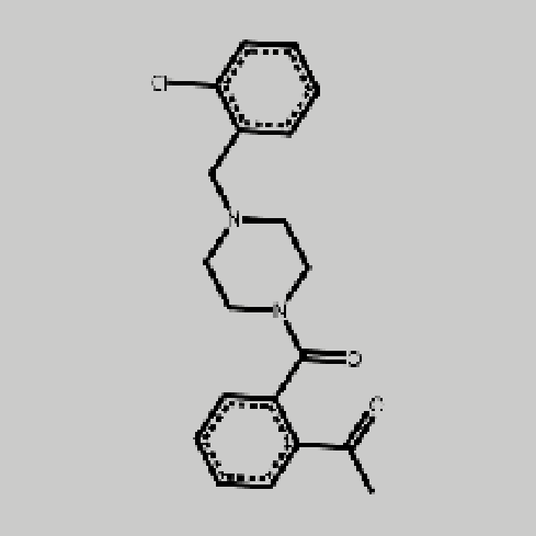 CC(=O)c1ccccc1C(=O)N1CCN(Cc2ccccc2Cl)CC1